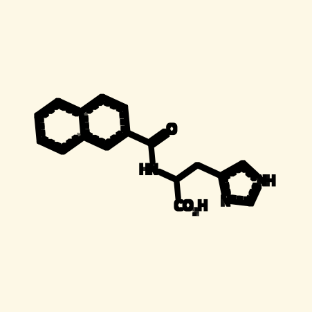 O=C(NC(Cc1c[nH]cn1)C(=O)O)c1ccc2ccccc2c1